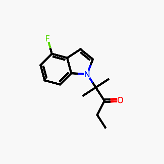 CCC(=O)C(C)(C)n1ccc2c(F)cccc21